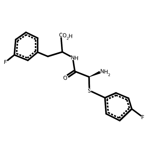 N[C@@H](Sc1ccc(F)cc1)C(=O)NC(Cc1cccc(F)c1)C(=O)O